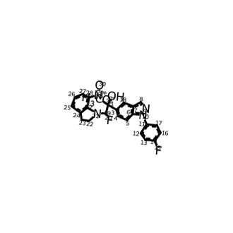 CC(O)(c1ccc2c(cnn2-c2ccc(F)cc2)c1)C(F)N1CCc2cccc([N+](=O)[O-])c21